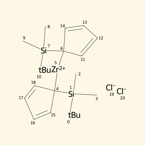 CC(C)(C)[Si](C)(C)[C]1([Zr+2][C]2([Si](C)(C)C(C)(C)C)C=CC=C2)C=CC=C1.[Cl-].[Cl-]